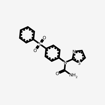 NC(=O)N(c1ccc(S(=O)(=O)c2ccccc2)cc1)c1nccs1